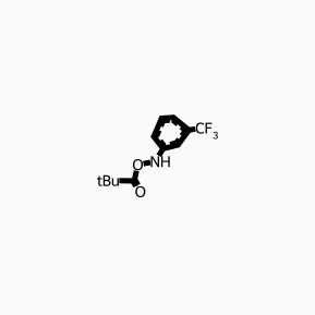 CC(C)(C)C(=O)ONc1cccc(C(F)(F)F)c1